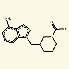 CCC(=O)N1CCCC(Cn2ncc3c(N)cccc32)C1